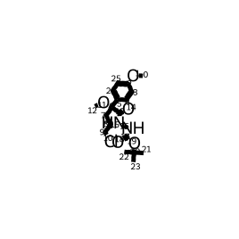 COc1ccc(C(CCCCl)(OC)C(=O)NNC(=O)OC(C)(C)C)cc1